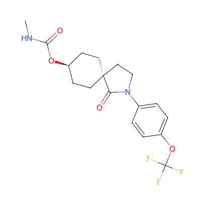 CNC(=O)O[C@H]1CC[C@@]2(CCN(c3ccc(OC(F)(F)F)cc3)C2=O)CC1